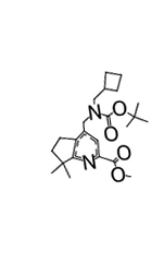 COC(=O)c1cc(CN(CC2CCC2)C(=O)OC(C)(C)C)c2c(n1)C(C)(C)CC2